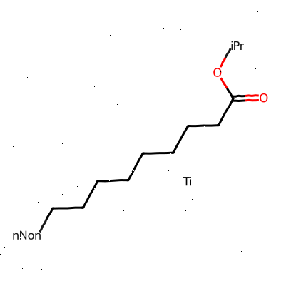 CCCCCCCCCCCCCCCCCC(=O)OC(C)C.[Ti]